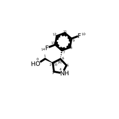 OC[C@@H]1CNC[C@H]1c1cc(F)ccc1F